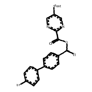 CCCCCc1cnc(C(=O)OC(CC)c2ccc(-c3ccc(CC)cc3)cc2)nc1